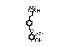 CCCc1c(O)[c]ccc1OCc1ccc(CCc2nnn[nH]2)cc1